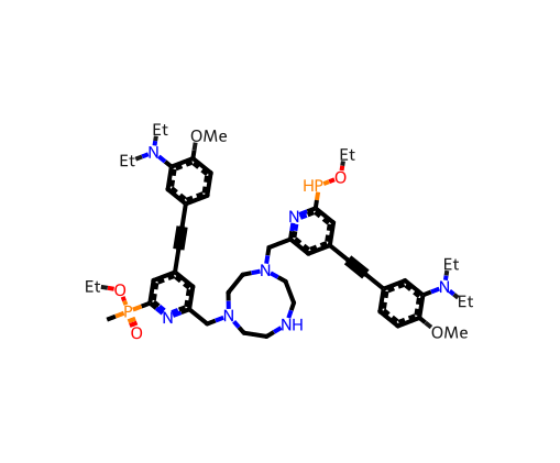 CCOPc1cc(C#Cc2ccc(OC)c(N(CC)CC)c2)cc(CN2CCNCCN(Cc3cc(C#Cc4ccc(OC)c(N(CC)CC)c4)cc(P(C)(=O)OCC)n3)CC2)n1